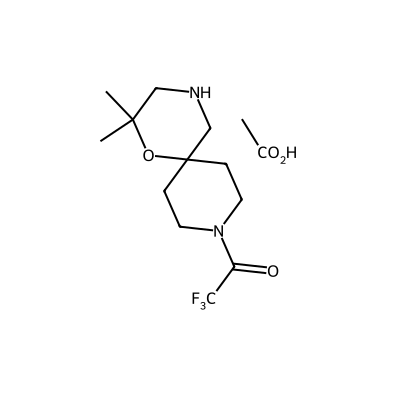 CC(=O)O.CC1(C)CNCC2(CCN(C(=O)C(F)(F)F)CC2)O1